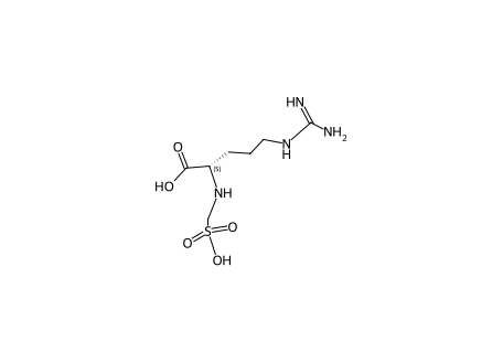 N=C(N)NCCC[C@H](NCS(=O)(=O)O)C(=O)O